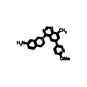 COc1ccc(-c2cc(C)c3ncnc(N4CCc5ccc(N)cc5C4)c3c2)cn1